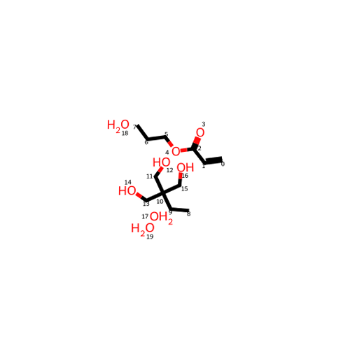 C=CC(=O)OCCC.CCC(CO)(CO)CO.O.O.O